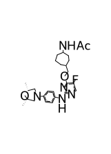 CC(=O)NC1CCCC(COc2nc(Nc3ccc(N4C[C@@H](C)O[C@@H](C)C4)cc3)ncc2F)CC1